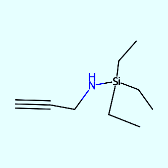 C#CCN[Si](CC)(CC)CC